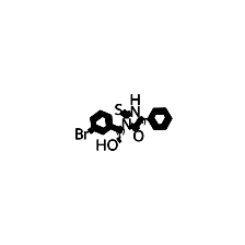 O=C1[C@@H](c2ccccc2)NC(=S)N1[C@H](CO)c1cccc(Br)c1